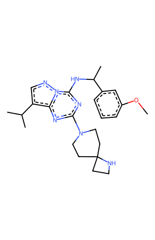 COc1cccc(C(C)Nc2nc(N3CCC4(CCN4)CC3)nc3c(C(C)C)cnn23)c1